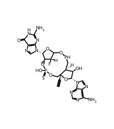 C#C[C@@]12COP(O)(=S)O[C@H]3[C@H](n4cnc5c(=O)[nH]c(N)nc54)OC(OPC[C@H]1[C@@H](O)[C@H](n1cnc4c(N)ncnc41)O2)[C@@H]3F